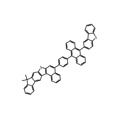 CC1(C)c2ccccc2-c2cc3c(cc21)sc1cc(-c2ccc(-c4c5ccccc5c(-c5ccc6sc7ccccc7c6c5)c5ccccc45)cc2)c2ccccc2c13